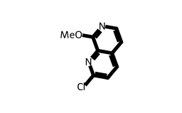 COc1nccc2ccc(Cl)nc12